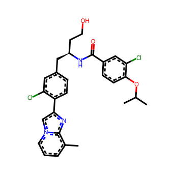 Cc1cccn2cc(-c3ccc(C[C@@H](CCO)NC(=O)c4ccc(OC(C)C)c(Cl)c4)cc3Cl)nc12